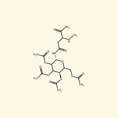 CNC(CC(=O)N[C@@H]1OC(COC(C)=O)[C@@H](OC(C)=O)C(OC(C)=O)C1OC(C)=O)C(N)=O